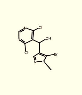 Cn1ncc(C(O)c2c(Cl)ncnc2Cl)c1Br